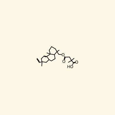 C=CC1(C)CC=C2C(CCC3C(C)(COC(=O)CC(C)(C)C(=O)O)CCCC23C)C1